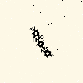 Cc1ccc2nc(-c3ccc(NC(=O)c4ccc(N(C)C)cc4C)cc3)sc2c1